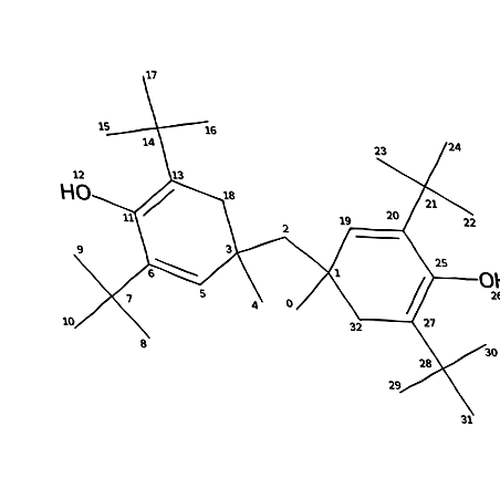 CC1(CC2(C)C=C(C(C)(C)C)C(O)=C(C(C)(C)C)C2)C=C(C(C)(C)C)C(O)=C(C(C)(C)C)C1